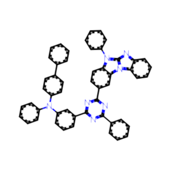 c1ccc(-c2ccc(N(c3ccccc3)c3cccc(-c4nc(-c5ccccc5)nc(-c5ccc6c(c5)n5c7ccccc7nc5n6-c5ccccc5)n4)c3)cc2)cc1